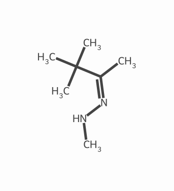 CNN=C(C)C(C)(C)C